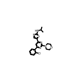 CC(C)Nc1ncc(-c2cc(-c3ccccc3Cl)nc(N3CCOCC3)n2)s1